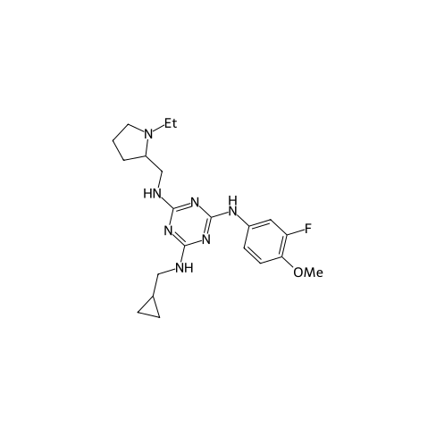 CCN1CCCC1CNc1nc(NCC2CC2)nc(Nc2ccc(OC)c(F)c2)n1